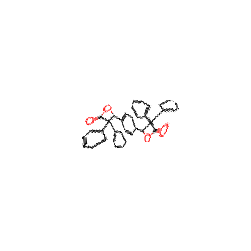 O=C1OC(c2ccc(C3OC(=O)C3(c3ccccc3)c3ccccc3)cc2)C1(c1ccccc1)c1ccccc1